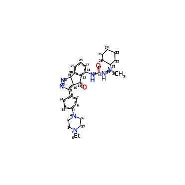 CCN1CCN(c2ccc(C3=C4C(=O)c5c(NC(=O)NN(C)C6CCCCC6)cccc5C4N=N3)cc2)CC1